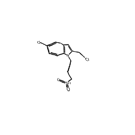 O=[SH](=O)CCCn1c(CCl)cc2cc(Cl)ccc21